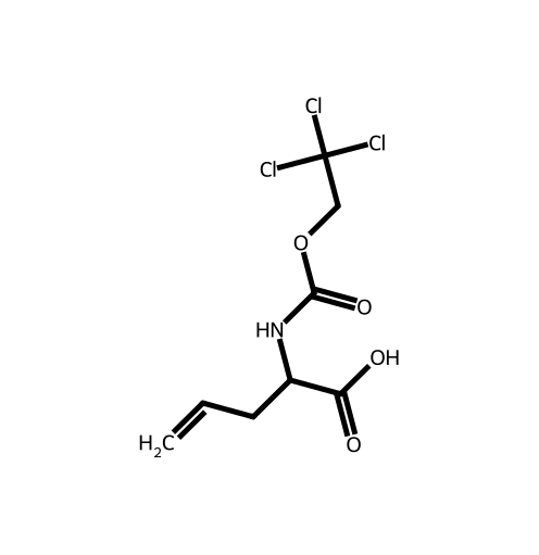 C=CCC(NC(=O)OCC(Cl)(Cl)Cl)C(=O)O